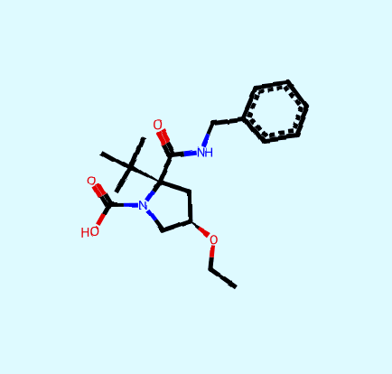 CCO[C@H]1CN(C(=O)O)[C@@](C(=O)NCc2ccccc2)(C(C)(C)C)C1